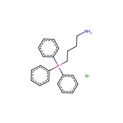 NCCCC[P+](c1ccccc1)(c1ccccc1)c1ccccc1.[Br-]